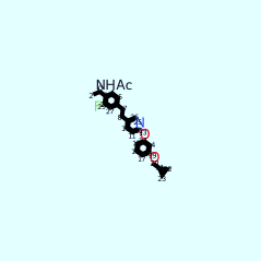 CC(=O)NC(C)c1ccc(CCc2ccc(Oc3cccc(OCC4CC4)c3)nc2)cc1F